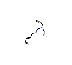 CCN(CC)CNCC=C[SiH3]